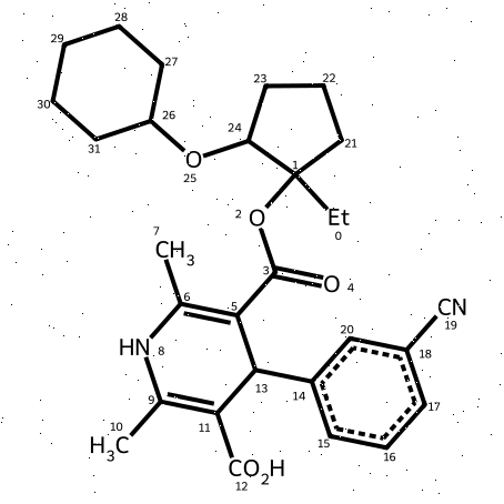 CCC1(OC(=O)C2=C(C)NC(C)=C(C(=O)O)C2c2cccc(C#N)c2)CCCC1OC1CCCCC1